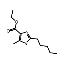 CCCCCc1nc(C(=O)OCC)c(C)s1